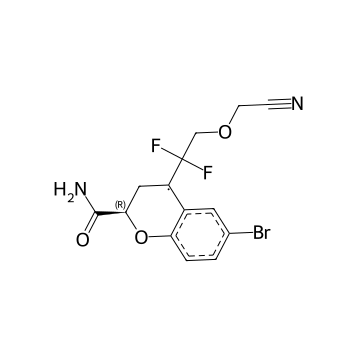 N#CCOCC(F)(F)[C]1C[C@H](C(N)=O)Oc2ccc(Br)cc21